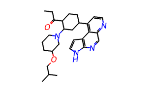 CCC(=O)C1CCC(c2ccnc3cnc4[nH]ccc4c23)CC1N1CCCC(OCC(C)C)C1